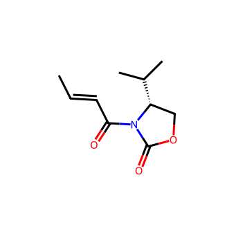 C/C=C/C(=O)N1C(=O)OC[C@H]1C(C)C